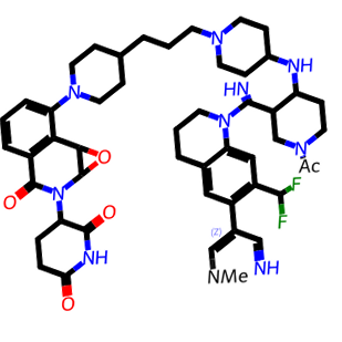 CN/C=C(\C=N)c1cc2c(cc1C(F)F)N(C(=N)C1CN(C(C)=O)CCC1NC1CCN(CCCC3CCN(c4cccc5c4C4OC4N(C4CCC(=O)NC4=O)C5=O)CC3)CC1)CCC2